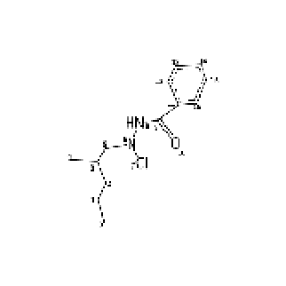 CCCC(C)CN(Cl)NC(=O)c1ccccc1